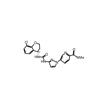 CNC(=O)c1ccc(-n2ccc(NC(=O)N[C@H]3CCOc4c(Cl)cccc43)n2)cn1